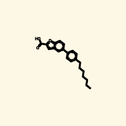 CCCCCCCc1ccc(-c2ccc3oc(C(=O)O)cc3c2)cc1